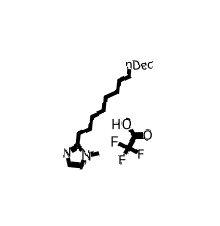 CCCCCCCCCCCCCCCCCCc1nccn1C.O=C(O)C(F)(F)F